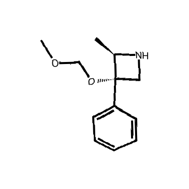 COCO[C@@]1(c2ccccc2)CN[C@@H]1C